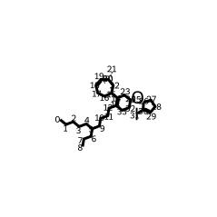 CCCCCC(CCC)CCCCC1=C(C2CCC=C[C@H](C)C2)CC(OC2CCC=C2I)CC1